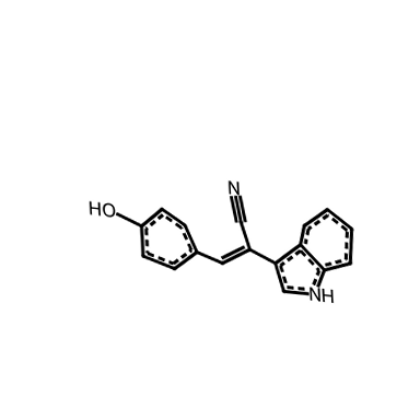 N#C/C(=C\c1ccc(O)cc1)c1c[nH]c2ccccc12